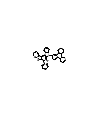 c1ccc2c(c1)sc1c2c2sc3ncccc3c2c2c3ccccc3n(-c3ccc4c5ccccc5c5ccccc5c4c3)c12